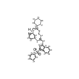 CN(CCCN(Cc1ccncc1)Cc1cn(S(=O)(=O)c2ccccc2)c2ccccc12)C1CCCCC1